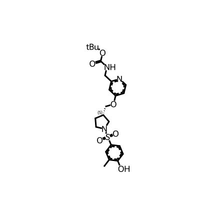 Cc1cc(S(=O)(=O)N2CC[C@H](COc3ccnc(CNC(=O)OC(C)(C)C)c3)C2)ccc1O